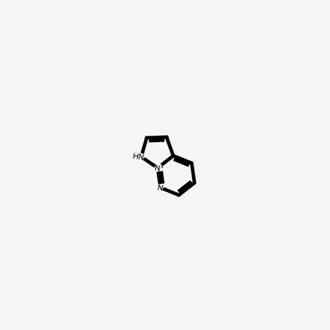 [c]1c[nH][n+]2ncccc12